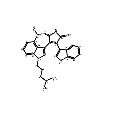 CN(C)CCCn1cc(C2=C(c3c[nH]c4ccccc34)C(=O)NC2=O)c2c([N+](=O)[O-])cccc21